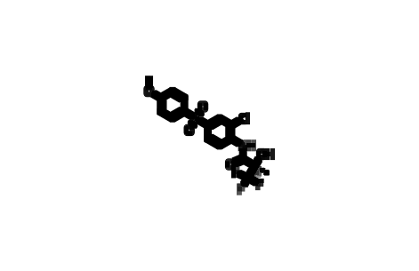 COc1ccc(S(=O)(=O)c2ccc(NC(=O)[C@@](C)(O)C(F)(F)F)c(Cl)c2)cc1